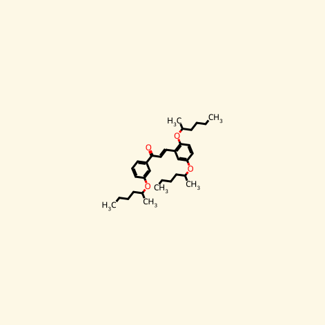 CCCCC(C)Oc1cccc(C(=O)/C=C/c2cc(OC(C)CCCC)ccc2OC(C)CCCC)c1